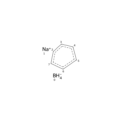 [BH4-].[Na+].c1ccccc1